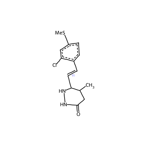 CSc1ccc(/C=C/C2NNC(=O)CC2C)c(Cl)c1